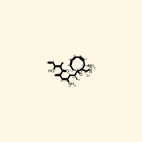 C=C/C(O)=C(\C)C(=O)C(=C)/C=C(/N)C[C@H](C)[C@]12CC=C=CC#C[C@H](N)[C@]1([C@@H](C)O)O2